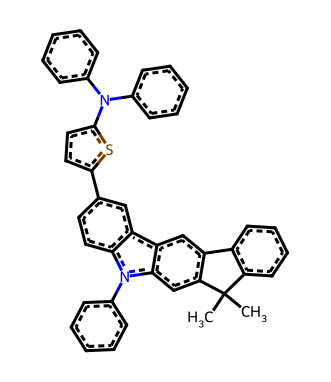 CC1(C)c2ccccc2-c2cc3c4cc(-c5ccc(N(c6ccccc6)c6ccccc6)s5)ccc4n(-c4ccccc4)c3cc21